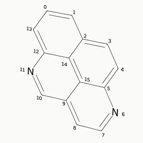 c1cc2ccc3nccc4cnc(c1)c2c43